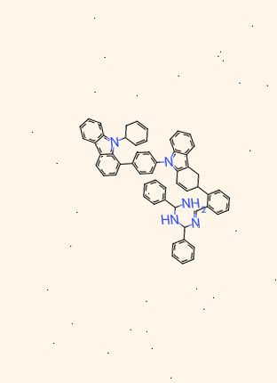 NC(NC(/N=C/c1ccccc1C1C=Cc2c(c3ccccc3n2-c2ccc(-c3cccc4c5ccccc5n(C5C=CC=CC5)c34)cc2)C1)c1ccccc1)c1ccccc1